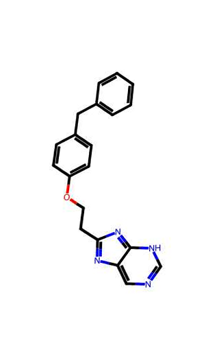 c1ccc(Cc2ccc(OCCc3nc4cnc[nH]c-4n3)cc2)cc1